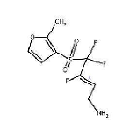 Cc1occc1S(=O)(=O)C(F)(F)/C(F)=C/CN